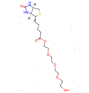 O=C1N[C@H]2[C@H](CS[C@H]2CCCCC(=O)OCCOCCOCCOCCO)N1